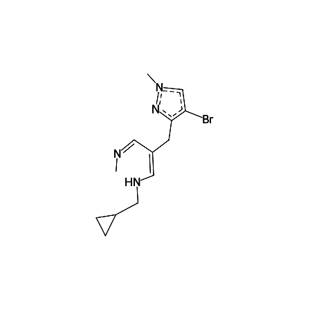 C/N=C\C(=C/NCC1CC1)Cc1nn(C)cc1Br